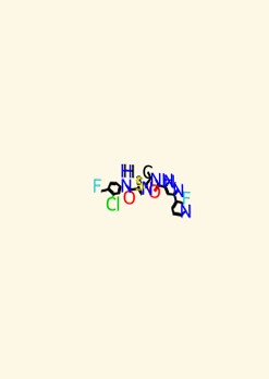 CC(NC(=O)c1cc(-c2cccnc2F)ncn1)c1ncc(C(=O)Nc2ccc(CF)c(Cl)c2)s1